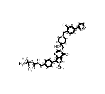 Cn1nc2c(=O)n(CC3(O)CCN(Cc4ccc(-c5ccon5)cc4Cl)CC3)cnc2c1-c1ccc(CNC(=O)OC(C)(C)C)cc1